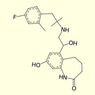 Cc1cc(F)ccc1CC(C)(C)NCC(O)c1cc(O)cc2c1CCCC(=O)N2